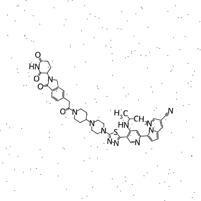 CC(C)Nc1cc(-c2ccc3cc(C#N)cnn23)ncc1-c1nnc(N2CCN(C3CCN(C(=O)Cc4ccc5c(c4)CN(C4CCC(=O)NC4=O)C5=O)CC3)CC2)s1